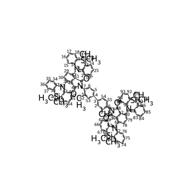 Cc1cc(-c2ccc(N3C(=O)c4c(N5c6ccccc6[Si](C)(C)c6ccccc65)ccc(N5c6ccccc6[Si](C)(C)c6ccccc65)c4C3=O)c(C)c2)ccc1N1C(=O)c2c(N3c4ccccc4[Si](C)(C)c4ccccc43)ccc(N3c4ccccc4[Si](C)(C)c4ccccc43)c2C1=O